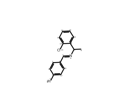 CC(C)c1ccc(C=NC(C)c2ccccc2Cl)cc1